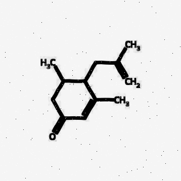 C=C(C)CC1C(C)=CC(=O)CC1C